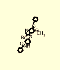 COc1cc2c(Oc3ccc(NC(=O)c4ccccc4)cc3)c(Br)cnc2cc1OCc1ccccc1